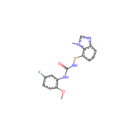 COc1ccc(F)cc1NC(=O)NSc1cccc2ncn(C)c12